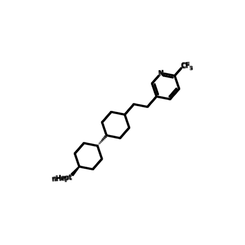 CCCCCCC[C@H]1CC[C@H](C2CCC(CCc3ccc(C(F)(F)F)nc3)CC2)CC1